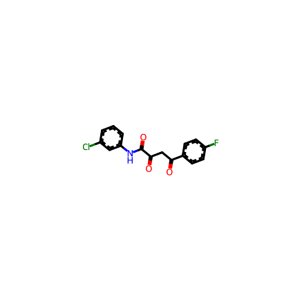 O=C(CC(=O)c1ccc(F)cc1)C(=O)Nc1cccc(Cl)c1